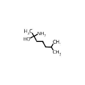 CC(C)CCCC(C)(N)O